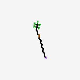 FC(F)(F)C(F)(F)CCCSCCCCCCCCCI